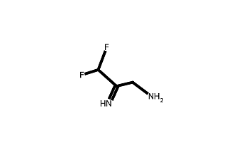 N=C(CN)C(F)F